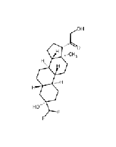 C[C@]12CC[C@H]3[C@@H](CC[C@H]4C[C@](O)(C(F)F)CC[C@@H]43)[C@@H]1CC[C@@H]2C(=O)CO